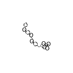 COC(=O)[C@]1(C)OC[C@@H](Cc2ccc(OCCOc3ccc(Oc4ccccc4)cc3)cc2)CO1